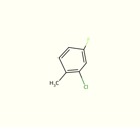 Cc1[c]cc(F)cc1Cl